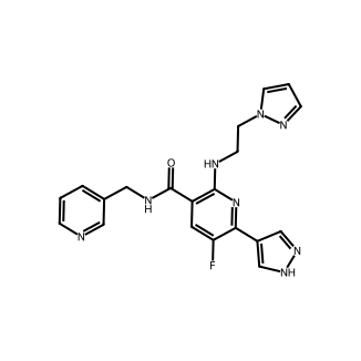 O=C(NCc1cccnc1)c1cc(F)c(-c2cn[nH]c2)nc1NCCn1cccn1